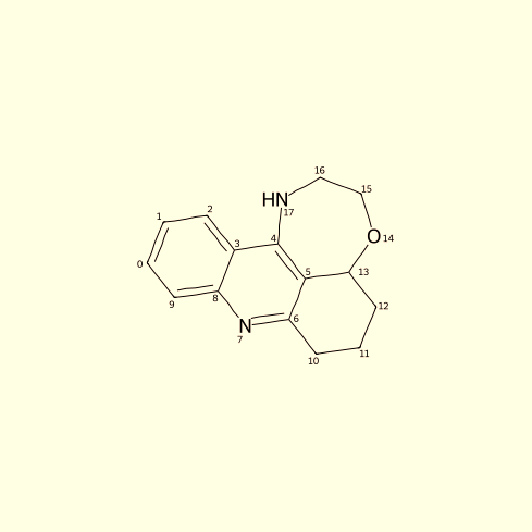 c1ccc2c3c4c(nc2c1)CCCC4OCCN3